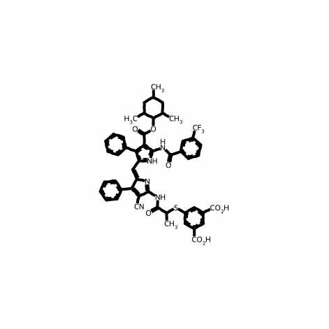 CC1CC(C)C(OC(=O)c2c(NC(=O)c3cccc(C(F)(F)F)c3)[nH]c(/C=C3\N=C(NC(=O)C(C)Sc4cc(C(=O)O)cc(C(=O)O)c4)C(C#N)=C3c3ccccc3)c2-c2ccccc2)C(C)C1